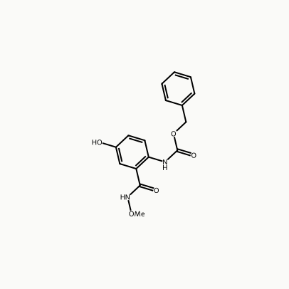 CONC(=O)c1cc(O)ccc1NC(=O)OCc1ccccc1